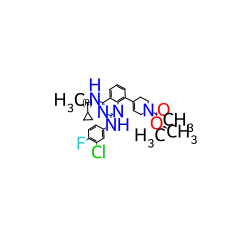 C[C@@H](Nc1nc(Nc2ccc(F)c(Cl)c2)nc2c(C3=CCN(C(=O)OC(C)(C)C)CC3)cccc12)C1CC1